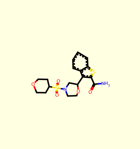 NC(=O)c1sc2ccccc2c1C1CN(S(=O)(=O)C2CCOCC2)CCO1